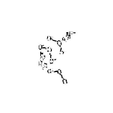 O.O.[Al+3].[Al+3].[O-]O[O-].[O-]O[O-].[O-]O[O-]